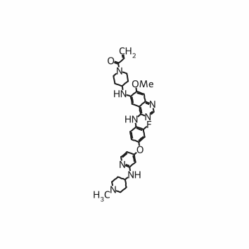 C=CC(=O)N1CCC(Nc2cc3c(Nc4ccc(Oc5ccnc(NC6CCN(C)CC6)c5)cc4F)ncnc3cc2OC)CC1